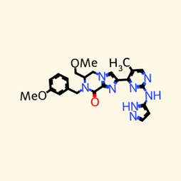 COCC1Cn2cc(-c3nc(Nc4ccn[nH]4)ncc3C)nc2C(=O)N1Cc1cccc(OC)c1